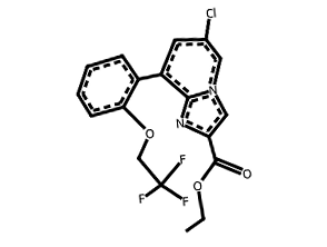 CCOC(=O)c1cn2cc(Cl)cc(-c3ccccc3OCC(F)(F)F)c2n1